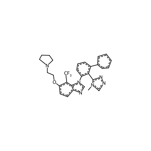 Cn1cnnc1-c1c(-c2ccccc2)cccc1-n1cnc2ccc(OCCN3CCCC3)c(C(F)(F)F)c21